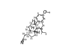 CC[C@@H]1Cc2cc(OC)ccc2[C@H]2CC[C@]3(C)[C@H](CC#N)CC[C@H]3[C@H]12